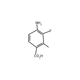 Cc1c(C(=O)O)ccc(N)c1F